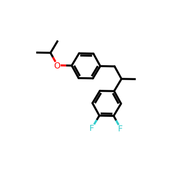 CC(C)Oc1ccc(CC(C)c2ccc(F)c(F)c2)cc1